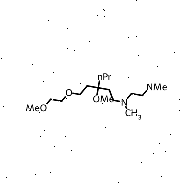 CCCC(CCOCCOC)(CCN(C)CCNC)OC